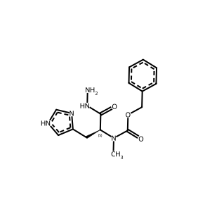 CN(C(=O)OCc1ccccc1)[C@@H](Cc1c[nH]cn1)C(=O)NN